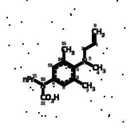 C=CCN(C)c1c(C)cc(N(CCC)C(=O)O)cc1C